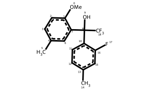 COc1ccc(C)cc1C(O)(c1ccc(C)cc1F)C(F)(F)F